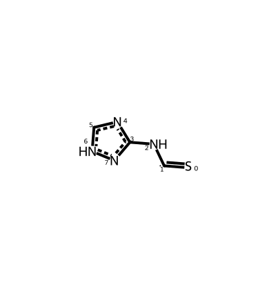 S=[C]Nc1nc[nH]n1